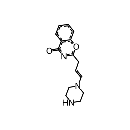 O=c1nc(CC=CN2CCNCC2)oc2ccccc12